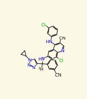 [2H]C(Nc1cc(Cl)c2ncc(C#N)c(Nc3cccc(Cl)c3)c2c1)(c1cccc(C#N)c1)c1cn(C2CC2)nn1